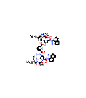 CN[C@@H](C)C(=O)N[C@H](C(=O)N1C[C@@H](NC(=O)c2cccc(C(=O)N[C@H]3C[C@@H](C(=O)NC4CCCc5ccccc54)N(C(=O)[C@@H](NC(=O)[C@H](C)NC)C(C)(C)C)C3)n2)CC1C(=O)N[C@@H]1CCCc2ccccc21)C(C)(C)C